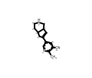 Cc1ncc(C2=CC3CNCCC3C2)cc1C#N